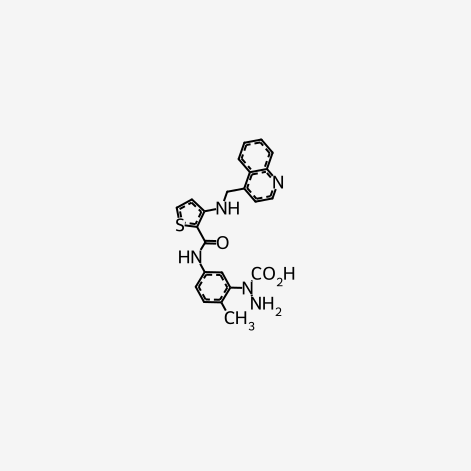 Cc1ccc(NC(=O)c2sccc2NCc2ccnc3ccccc23)cc1N(N)C(=O)O